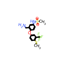 CSc1ccc(Oc2ccc(NS(C)(=O)=O)cc2CN)cc1C(F)(F)F